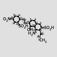 CN=Nc1c(S(=O)(=O)O)cc2ccc(N=Nc3ccc([N+](=O)[O-])cc3S(=O)(=O)O)c(O)c2c1N